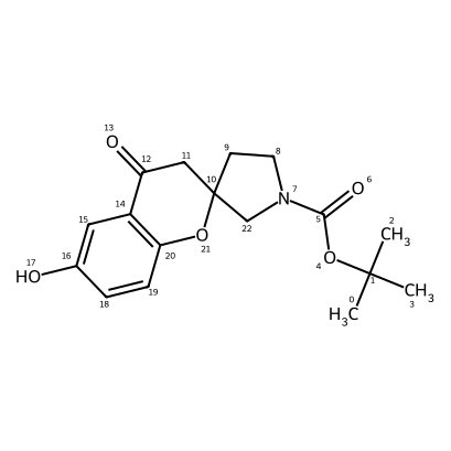 CC(C)(C)OC(=O)N1CCC2(CC(=O)c3cc(O)ccc3O2)C1